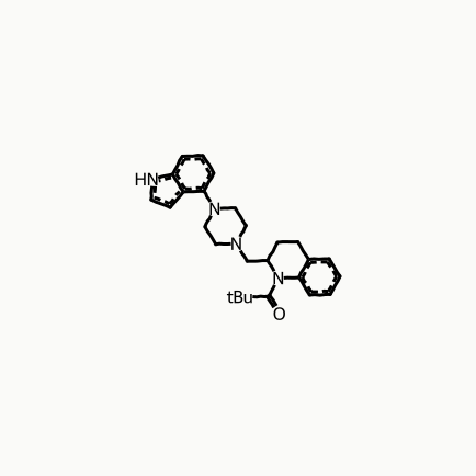 CC(C)(C)C(=O)N1c2ccccc2CCC1CN1CCN(c2cccc3[nH]ccc23)CC1